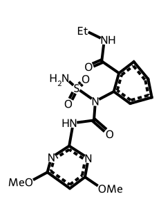 CCNC(=O)c1ccccc1N(C(=O)Nc1nc(OC)cc(OC)n1)S(N)(=O)=O